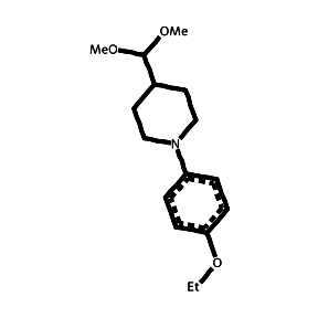 CCOc1ccc(N2CCC(C(OC)OC)CC2)cc1